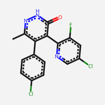 Cc1n[nH]c(=O)c(-c2ncc(Cl)cc2F)c1-c1ccc(Cl)cc1